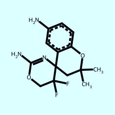 CC1(C)CC2(N=C(N)OCC2(F)F)c2cc(N)ccc2O1